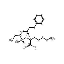 CC[C@@H](NC(=O)CCc1ccccc1)P(=O)(O)OC(CCCCN)C(=O)O